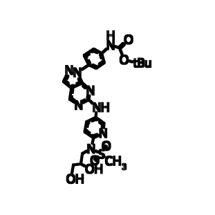 CC(C)(C)OC(=O)Nc1ccc(-n2ncc3cnc(Nc4ccc(N(CC(O)CO)S(C)(=O)=O)nc4)nc32)cc1